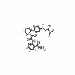 C[C@@H]1CC[C@@H](c2ccc(NCC(=O)N(C)C)cc2)N(C(=O)C(=O)Nc2ncccc2C(N)=O)C1